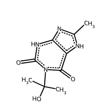 Cc1nc2[nH]c(=O)n(C(C)(C)O)c(=O)c2[nH]1